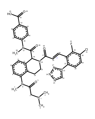 CN(C)CC(=O)N(C)c1cccc2c1CCN(C(=O)/C=C/c1c(-n3cnnn3)ccc(Cl)c1F)C2C(=O)N(C)c1ccc(C(=O)O)cc1